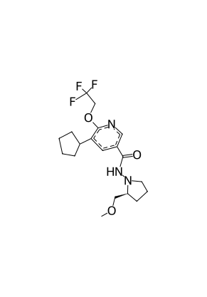 COC[C@@H]1CCCN1NC(=O)c1cnc(OCC(F)(F)F)c(C2CCCC2)c1